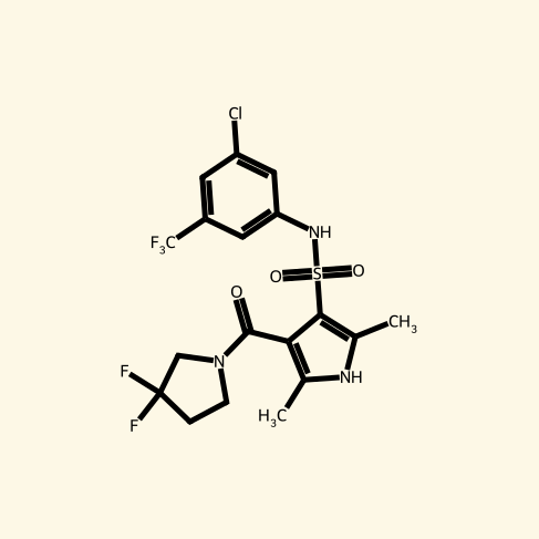 Cc1[nH]c(C)c(S(=O)(=O)Nc2cc(Cl)cc(C(F)(F)F)c2)c1C(=O)N1CCC(F)(F)C1